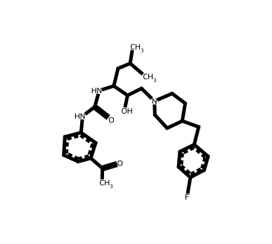 CC(=O)c1cccc(NC(=O)NC(CC(C)C)C(O)CN2CCC(Cc3ccc(F)cc3)CC2)c1